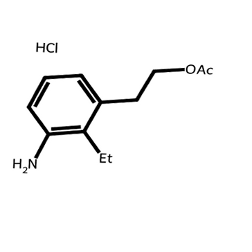 CCc1c(N)cccc1CCOC(C)=O.Cl